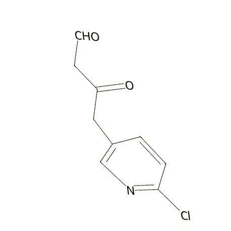 O=CCC(=O)Cc1ccc(Cl)nc1